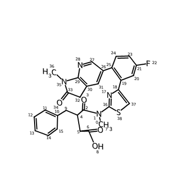 CN(C(=O)C(CC(=O)O)Cc1ccccc1)c1nc(-c2cc(F)ccc2-c2cnc3c(c2)CC(=O)N3C)cs1